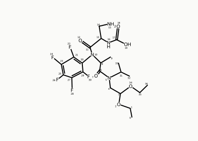 CCOC(CN(C(=O)C(C)N(C(=O)C(CN)NC(=O)O)c1c(F)c(F)c(F)c(F)c1F)C(C)C)OCC